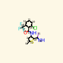 Cc1cc(NC(=O)c2c(Cl)cccc2C(F)(F)F)c(C(=N)I)s1